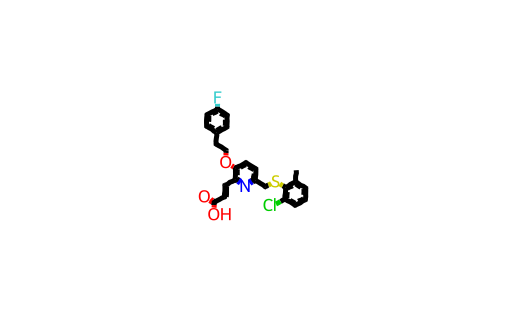 Cc1cccc(Cl)c1SCc1ccc(OCCc2ccc(F)cc2)c(C=CC(=O)O)n1